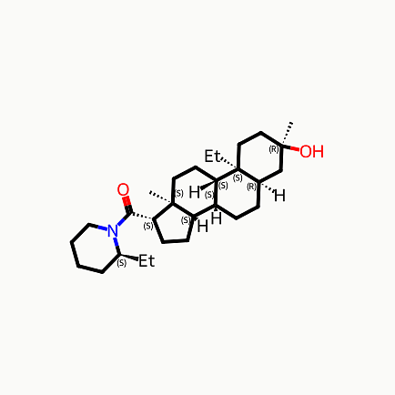 CC[C@H]1CCCCN1C(=O)[C@H]1CC[C@H]2[C@@H]3CC[C@@H]4C[C@](C)(O)CC[C@]4(CC)[C@H]3CC[C@]12C